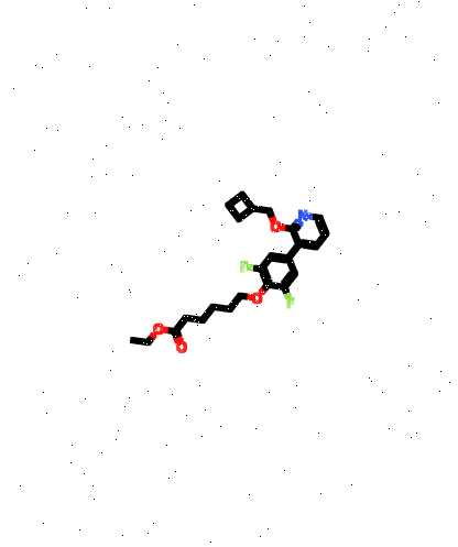 CCOC(=O)CCCCCOc1c(F)cc(-c2cccnc2OCC2CCC2)cc1F